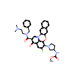 CN(C)CCN(Cc1ccccc1)C(=O)c1cn2c3c(c(N4CCC(NC(=O)OC(C)(C)C)C4)c(F)cc3c1=O)Oc1cc3ccccc3cc1-2